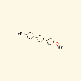 CCCC[C@H]1CC[C@H]([C@H]2CC[C@H](c3ccc(OCCC)cc3)CC2)CC1